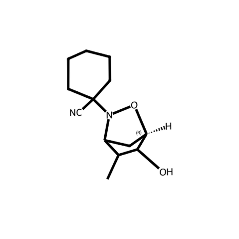 CC1C(O)[C@H]2CC1N(C1(C#N)CCCCC1)O2